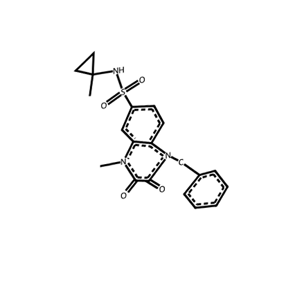 Cn1c(=O)c(=O)n(Cc2ccccc2)c2ccc(S(=O)(=O)NC3(C)CC3)cc21